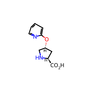 O=C(O)[C@@H]1C[C@@H](Oc2ccccn2)CN1